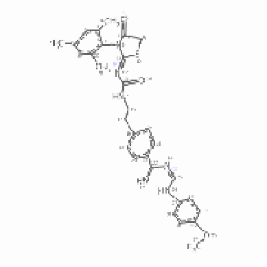 Cc1cc(C)c(N2C(=O)CS/C2=N\C(=O)NCCc2ccc(C(=N)/N=C\Nc3ccc(OC(F)(F)F)cc3)cc2)c(C)c1